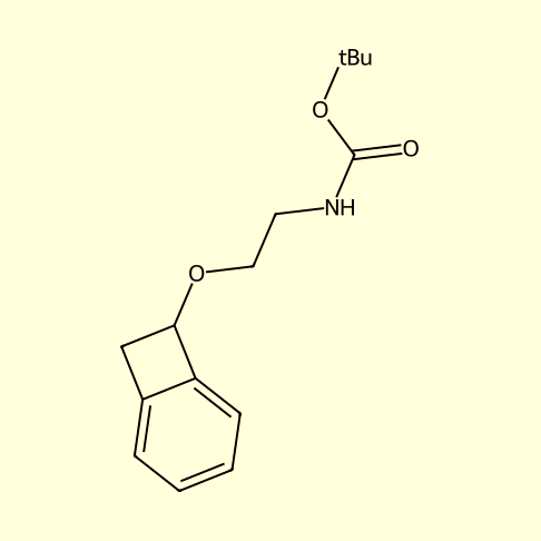 CC(C)(C)OC(=O)NCCOC1Cc2ccccc21